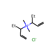 C=CC(CC)[N+](C)(C)C(C=C)CC.[Cl-]